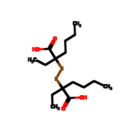 CCCCC(CC)(SSC(CC)(CCCC)C(=O)O)C(=O)O